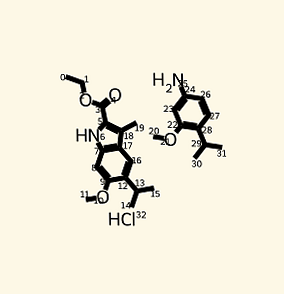 CCOC(=O)c1[nH]c2cc(OC)c(C(C)C)cc2c1C.COc1cc(N)ccc1C(C)C.Cl